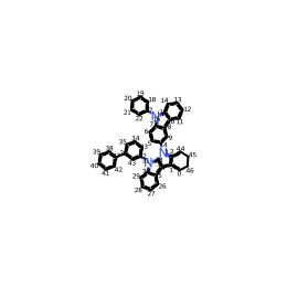 C1=c2c(n(-c3ccc4c(c3)c3ccccc3n4-c3ccccc3)c3c2c2ccccc2n3-c2cccc(-c3ccccc3)c2)=CCC1